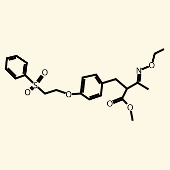 CCON=C(C)C(Cc1ccc(OCCS(=O)(=O)c2ccccc2)cc1)C(=O)OC